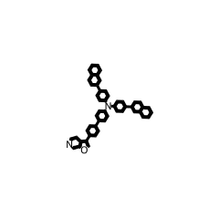 c1ccc2cc(-c3ccc(N(c4ccc(-c5ccc(-c6coc7cnccc67)cc5)cc4)c4ccc(-c5ccc6ccccc6c5)cc4)cc3)ccc2c1